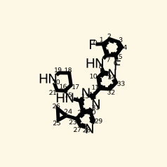 Fc1cccc(F)c1Nc1cc(-c2nc(NC3CCCNC3)c3c(C4CC4)cncc3n2)ccn1